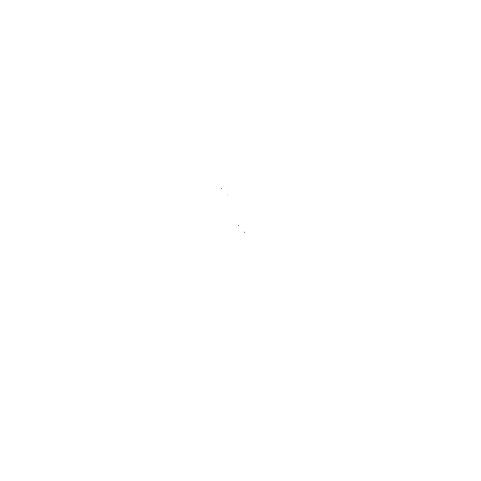 Brc1ccc(-c2cccc(-c3cc(-c4ccccc4)nc(-c4ccccc4)n3)c2)cc1